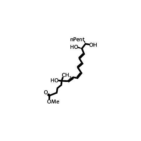 CCCCC[C@H](O)[C@H](O)/C=C/C=C/C=C\C=C\C(C)(O)CCCC(=O)OC